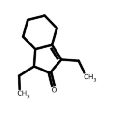 CCC1=C2CCCCC2C(CC)C1=O